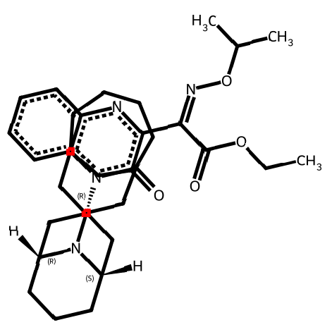 CCOC(=O)C(=NOC(C)C)c1nc2ccccc2n([C@H]2C[C@H]3CCC[C@@H](C2)N3C2CC3CCCCC(C3)C2)c1=O